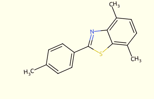 Cc1ccc(-c2nc3c(C)ccc(C)c3s2)cc1